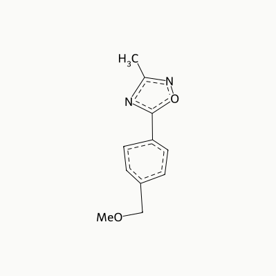 COCc1ccc(-c2nc(C)no2)cc1